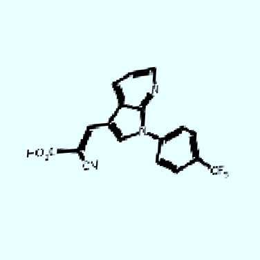 N#C/C(=C\c1cn(-c2ccc(C(F)(F)F)cc2)c2ncccc12)C(=O)O